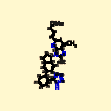 CCc1nc2c(C)cc(/C=C/COC)nc2n1[C@H]1CCc2cc(-c3ccccc3-c3nnn[nH]3)ccc21